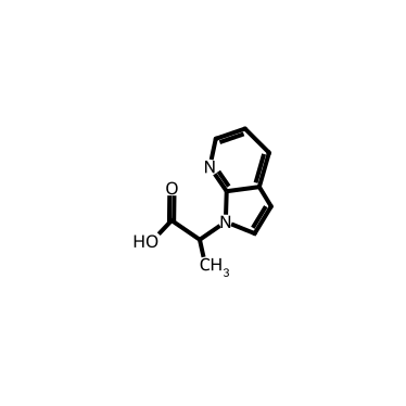 CC(C(=O)O)n1ccc2cccnc21